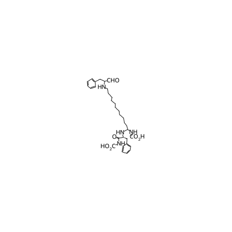 O=CC(Cc1ccccc1)NCCCCCCCCCCCC(NC(=O)O)N[C@@H](Cc1ccccc1)C(=O)NC(=O)O